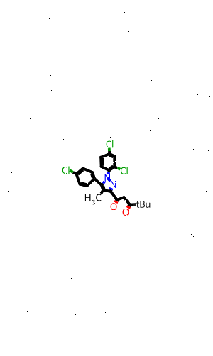 Cc1c(C(=O)CC(=O)C(C)(C)C)nn(-c2ccc(Cl)cc2Cl)c1-c1ccc(Cl)cc1